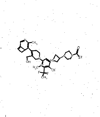 CCC(=O)N1CCN(C2C[SH](c3cc(N4CCC(C5=C(C)N=CC6=CCC65)=C(CO)C4)[n+](C)c(C(C)(F)F)c3C#N)C2)CC1